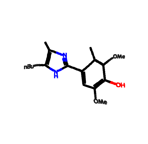 CCCCc1[nH]c(C2=CC(OC)=C(O)C(OC)C2C)nc1C